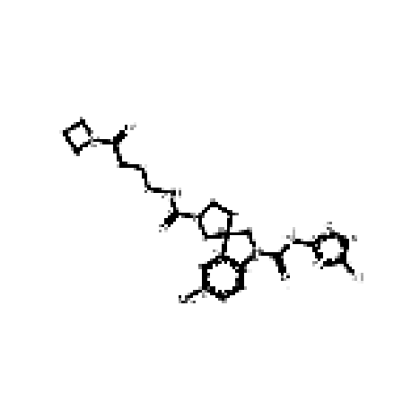 O=C(CCCNC(=O)N1CCC2(C1)CN(C(=O)Nc1ncc(Cl)s1)c1ccc(Cl)cc12)N1CCC1